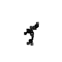 N#Cc1cc2c(cn1)N(C(=O)NCc1ccnc(Cl)c1)CC21CCN(C/C=C/c2ccc(Cl)c(Cl)c2)CC1